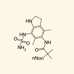 CCCCCCCCCC(C)(C)C(=O)Nc1c(C)c2c(c(NS(N)(=O)=O)c1C)NCC2